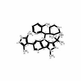 Cc1cccnc1C(C1CCOCC1)n1c2cc(-c3c(C)noc3C)cnc2c2c1c(C(C)(C)O)nn2C